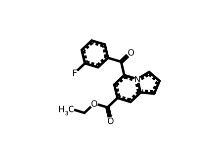 CCOC(=O)c1cc(C(=O)c2cccc(F)c2)n2cccc2c1